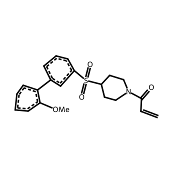 C=CC(=O)N1CCC(S(=O)(=O)c2cccc(-c3ccccc3OC)c2)CC1